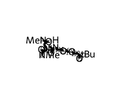 CNC(=O)CN(CC(=O)NC)CC(=O)NCCOCCOCCC(=O)C(C)(C)C